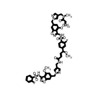 C=CC(=O)N(C)Cc1cnn(Cc2cc(OC)c3c(NS(=O)(=O)c4ccc(C(/C=C/C(=O)NCc5cnn(Cc6cc(OC)c7c(NS(=O)(=O)c8ccccc8F)noc7c6)c5)OC)cc4F)noc3c2)c1